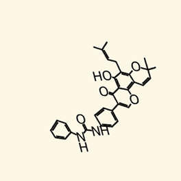 CC(C)=CCc1c2c(c3occ(-c4ccc(NC(=O)Nc5ccccc5)cc4)c(=O)c3c1O)C=CC(C)(C)O2